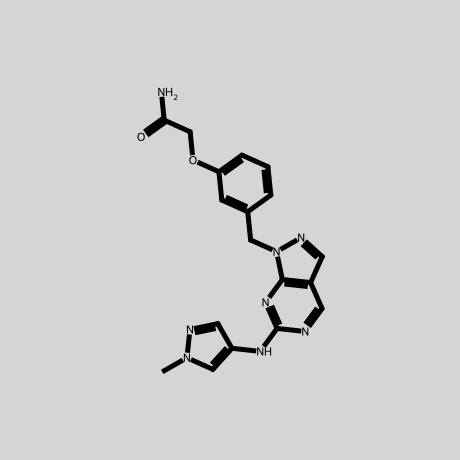 Cn1cc(Nc2ncc3cnn(Cc4cccc(OCC(N)=O)c4)c3n2)cn1